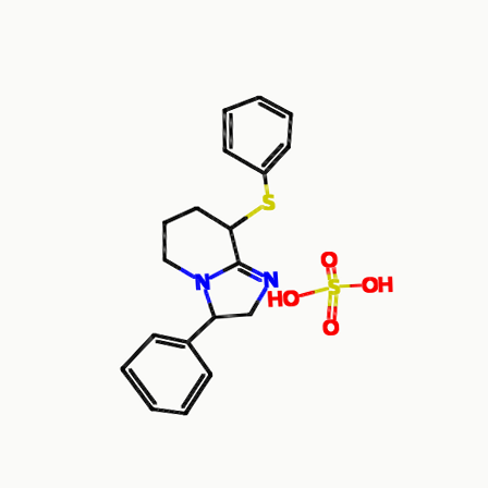 O=S(=O)(O)O.c1ccc(SC2CCCN3C2=NCC3c2ccccc2)cc1